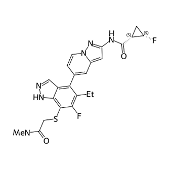 CCc1c(F)c(SCC(=O)NC)c2[nH]ncc2c1-c1ccn2nc(NC(=O)[C@@H]3C[C@@H]3F)cc2c1